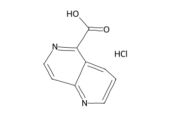 Cl.O=C(O)c1nccc2ncccc12